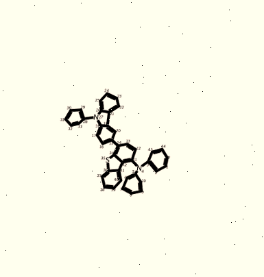 c1ccc(N(c2ccccc2)c2ccc(-c3ccc4c(c3)c3ccccc3n4-c3ccccc3)c3sc4ccccc4c23)cc1